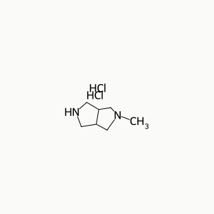 CN1CC2CNCC2C1.Cl.Cl